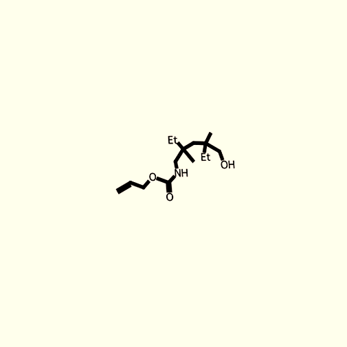 C=CCOC(=O)NCC(C)(CC)CC(C)(CC)CO